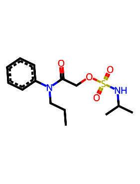 CCCN(C(=O)COS(=O)(=O)NC(C)C)c1ccccc1